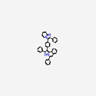 c1ccc(-c2nn3c(-c4ccccc4)cc4ccccc4c3c2-c2ccc(-c3c(-c4ccccc4)nc4ccccn34)cc2)cc1